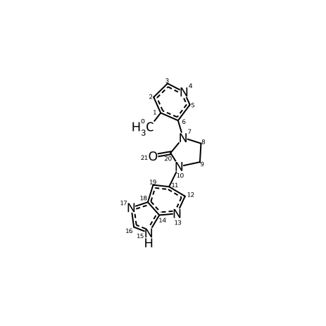 Cc1ccncc1N1CCN(c2cnc3[nH]cnc3c2)C1=O